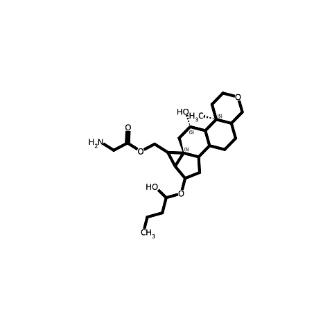 CCCC(O)OC1CC2C3CCC4COCC[C@]4(C)C3[C@@H](O)C[C@@]23C(COC(=O)CN)C13